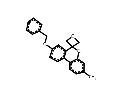 Cc1ccc2c(c1)OC1(COC1)c1cc(OCc3ccccc3)ccc1-2